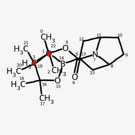 CC(C)(C)OC(=O)N1C2CCC1CC(B1OC(C)(C)C(C)(C)O1)C2